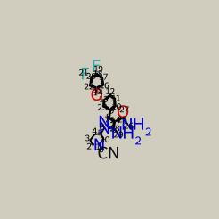 N#CN1CCCC(n2nc(-c3cccc(Oc4ccc(F)c(F)c4)c3)c(C(N)=O)c2N)C1